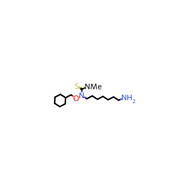 CNC(=S)N(CCCCCCCN)OCC1CCCCC1